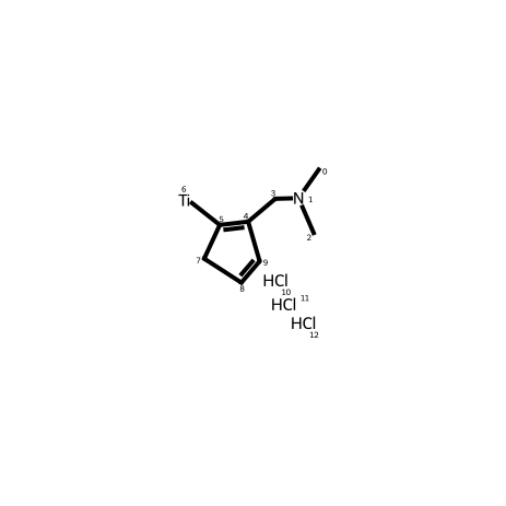 CN(C)CC1=[C]([Ti])CC=C1.Cl.Cl.Cl